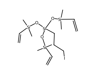 C=C[Si](C)(C)O[Si](CCCI)(O[Si](C)(C)C=C)O[Si](C)(C)C=C